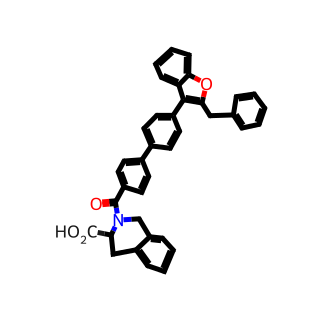 O=C(O)C1Cc2ccccc2CN1C(=O)c1ccc(-c2ccc(-c3c(Cc4ccccc4)oc4ccccc34)cc2)cc1